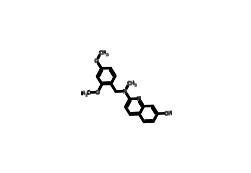 COc1ccc(CN(C)c2ccc3ccc(O)cc3n2)c(OC)c1